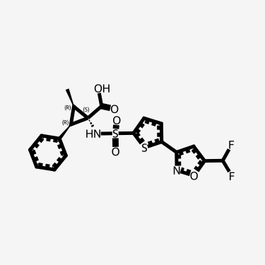 C[C@@H]1[C@H](c2ccccc2)[C@]1(NS(=O)(=O)c1ccc(-c2cc(C(F)F)on2)s1)C(=O)O